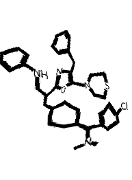 CN(C)C(c1ccc(Cl)cc1)C1CCC(CC(CNc2ccccc2)c2nc(Cc3ccccc3)c(N3CCSCC3)o2)CC1